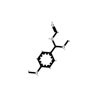 COc1ccc(C(OC)O[C]=O)cc1